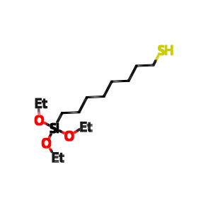 CCO[Si](CCCCCCCCS)(OCC)OCC